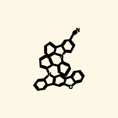 N#Cc1ccc2c(c1)c1ccccc1n2-c1ccccc1-c1ccccc1-n1c2ccccc2c2cc3oc4ccccc4c3cc21